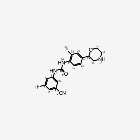 N#Cc1cc(F)cc(NC(=O)Nc2ccc(C3CNCCO3)cc2F)c1